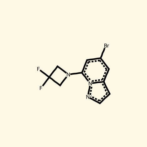 FC1(F)CN(c2cc(Br)cc3ccnn23)C1